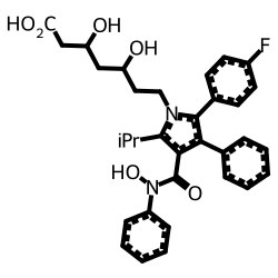 CC(C)c1c(C(=O)N(O)c2ccccc2)c(-c2ccccc2)c(-c2ccc(F)cc2)n1CCC(O)CC(O)CC(=O)O